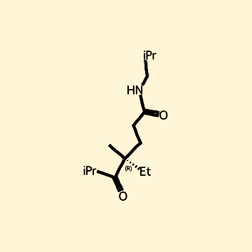 CC[C@](C)(CCC(=O)NCC(C)C)C(=O)C(C)C